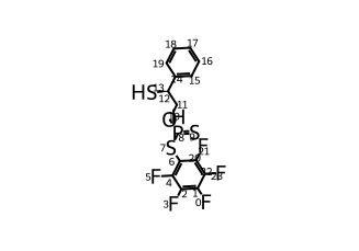 Fc1c(F)c(F)c(S[PH](=S)OC[C@@H](S)c2ccccc2)c(F)c1F